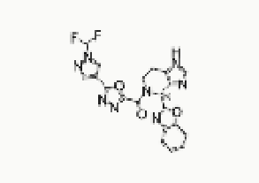 O=C(c1nnc(-c2cnn(C(F)F)c2)o1)N1CCc2[nH]cnc2[C@H]1c1nc2ccccc2o1